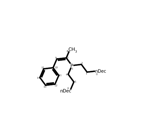 CCCCCCCCCCCCP(CCCCCCCCCCCC)C(C)=Cc1ccccc1